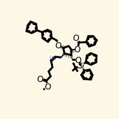 COC(=O)CCC/C=C\C[C@@H]1[C@@H](CO[Si](c2ccccc2)(c2ccccc2)C(C)(C)C)[C@H](OC(=O)c2ccccc2)C[C@@H]1OCc1ccc(-c2ccccc2)cc1